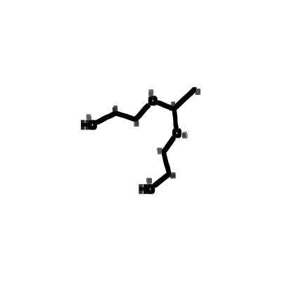 C[C](OCCO)OCCO